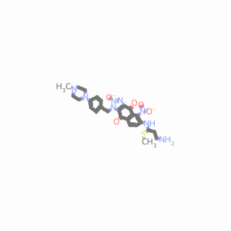 CSC(CCN)Nc1ccc2c(c1[N+](=O)[O-])C(=O)c1n[n+]([O-])n(Cc3ccc(N4CCN(C)CC4)cc3)c1C2=O